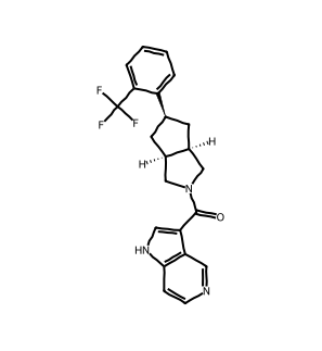 O=C(c1c[nH]c2ccncc12)N1C[C@H]2C[C@@H](c3ccccc3C(F)(F)F)C[C@H]2C1